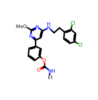 CCNC(=O)Oc1cccc(-c2cc(NCCc3ccc(Cl)cc3Cl)nc(OC)n2)c1